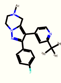 [2H]C([2H])([2H])c1cc(-c2c(-c3ccc(F)cc3)nn3c2CN(C(C)=O)CC3)ccn1